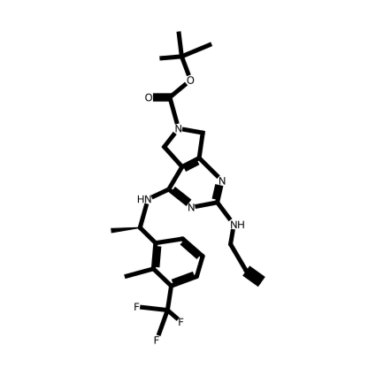 C#CCNc1nc2c(c(N[C@H](C)c3cccc(C(F)(F)F)c3C)n1)CN(C(=O)OC(C)(C)C)C2